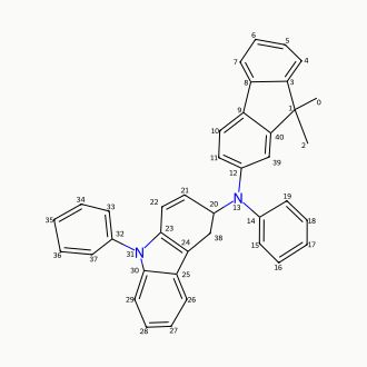 CC1(C)c2ccccc2-c2ccc(N(c3ccccc3)C3C=Cc4c(c5ccccc5n4-c4ccccc4)C3)cc21